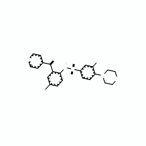 O=C(c1ccncc1)c1cc(Cl)ccc1NS(=O)(=O)c1ccc(N2CCOCC2)c(F)c1